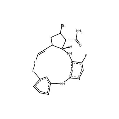 CCC1CC2/C=C\COc3cccc(c3)Nc3ncc(F)c(n3)N[C@H]2[C@H]1C(N)=O